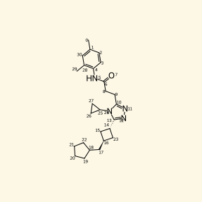 Cc1ccc(NC(=O)CCc2nnc([C@H]3C[C@H](CC4CCCC4)C3)n2C2CC2)c(C)c1